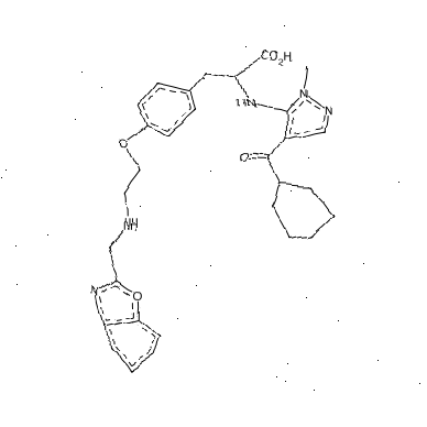 Cn1ncc(C(=O)C2CCCCC2)c1NC(Cc1ccc(OCCNCc2nc3ccccc3o2)cc1)C(=O)O